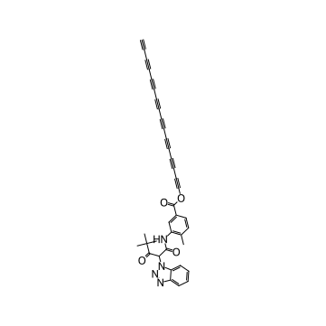 C#CC#CC#CC#CC#CC#CC#CC#COC(=O)c1ccc(C)c(NC(=O)C(C(=O)C(C)(C)C)n2nnc3ccccc32)c1